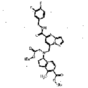 Cc1c(C(=O)OC(C)(C)C)ccc2c1CCC2N(CC(=O)OC(C)(C)C)Cc1cc(C(=O)NCc2ccc(F)c(F)c2)nc2ccnn12